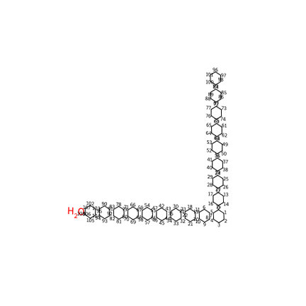 C1CCCCC1.C1CCCCC1.C1CCCCC1.C1CCCCC1.C1CCCCC1.C1CCCCC1.C1CCCCC1.C1CCCCC1.C1CCCCC1.C1CCCCC1.C1CCCCC1.C1CCCCC1.C1CCCCC1.C1CCCCC1.C1CCCCC1.C1CCCCC1.C1CCCCC1.C1CCCCC1.O